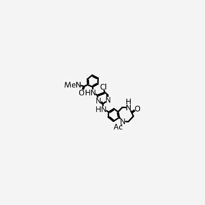 CNC(=O)c1ccccc1Nc1nc(Nc2ccc3c(c2)CNC(=O)CCN3C(C)=O)ncc1Cl